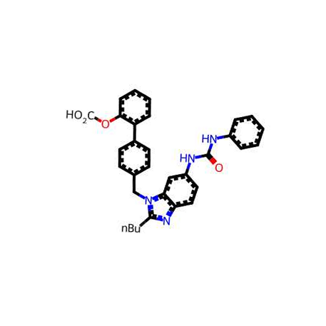 CCCCc1nc2ccc(NC(=O)Nc3ccccc3)cc2n1Cc1ccc(-c2ccccc2OC(=O)O)cc1